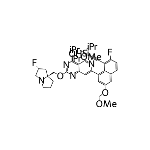 COCOc1cc(-c2cc3nc(OC[C@@]45CCCN4C[C@H](F)C5)nc(O)c3c(OC)n2)c2c(C#C[Si](C(C)C)(C(C)C)C(C)C)c(F)ccc2c1